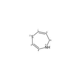 C1=CSC=CNC1